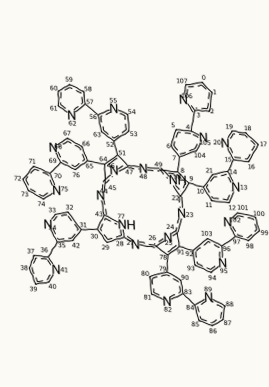 c1ccc(-c2ccc(-c3c(-c4ccnc(-c5ccccn5)c4)c4nc5nc(nc6cc(-c7ccnc(-c8ccccn8)c7)c(nc7nc(nc3[nH]4)C(c3ccnc(-c4ccccn4)c3)=C7c3ccnc(-c4ccccn4)c3)[nH]6)C(c3ccnc(-c4ccccn4)c3)=C5c3ccnc(-c4ccccn4)c3)cn2)nc1